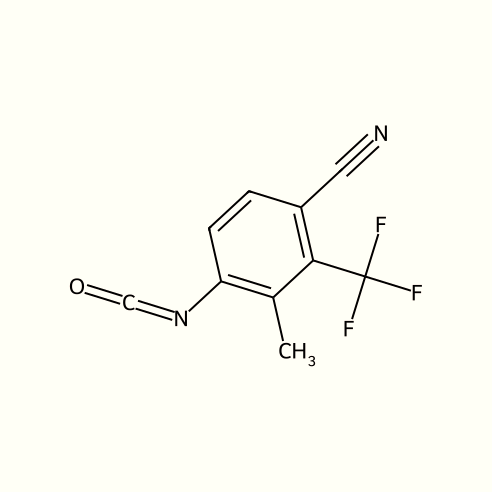 Cc1c(N=C=O)ccc(C#N)c1C(F)(F)F